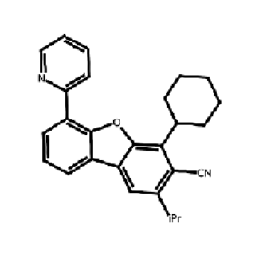 CC(C)c1cc2c(oc3c(-c4ccccn4)cccc32)c(C2CCCCC2)c1C#N